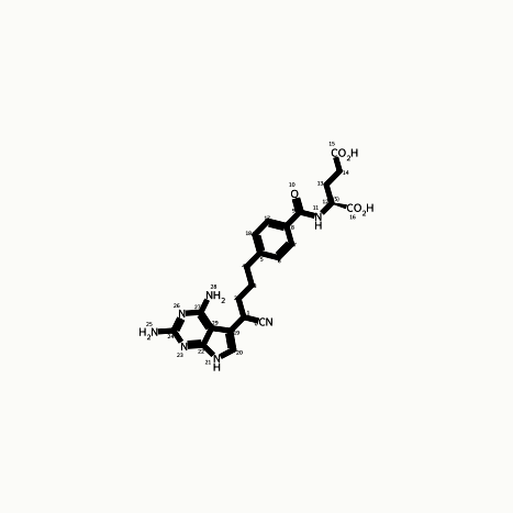 N#CC(CCCc1ccc(C(=O)N[C@@H](CCC(=O)O)C(=O)O)cc1)c1c[nH]c2nc(N)nc(N)c12